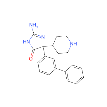 NC1=NC(c2cccc(-c3ccccc3)c2)(C2CCNCC2)C(=O)N1